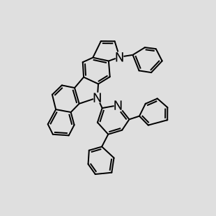 c1ccc(-c2cc(-c3ccccc3)nc(-n3c4cc5c(ccn5-c5ccccc5)cc4c4ccc5ccccc5c43)c2)cc1